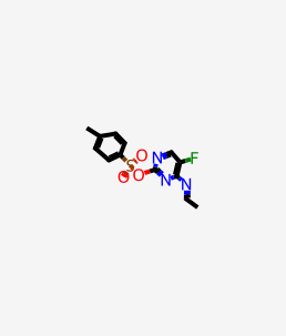 C/C=N/c1nc(OS(=O)(=O)c2ccc(C)cc2)ncc1F